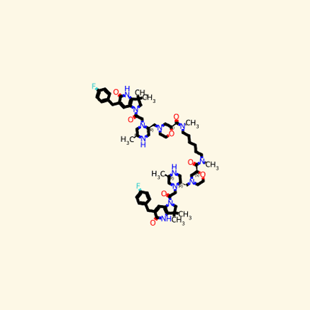 C[C@@H]1CN(CC(=O)N2CC(C)(C)c3[nH]c(=O)c(Cc4ccc(F)cc4)cc32)[C@@H](CN2CCO[C@H](C(=O)N(C)CCCCCCN(C)C(=O)[C@@H]3CN(C[C@H]4CN[C@H](C)CN4CC(=O)N4CC(C)(C)c5[nH]c(=O)c(Cc6ccc(F)cc6)cc54)CCO3)C2)CN1